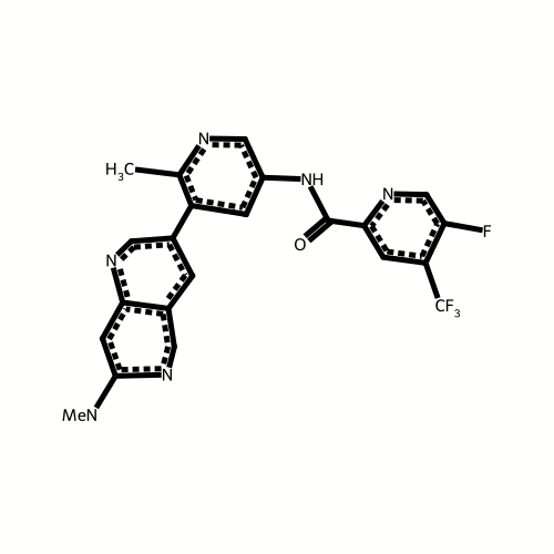 CNc1cc2ncc(-c3cc(NC(=O)c4cc(C(F)(F)F)c(F)cn4)cnc3C)cc2cn1